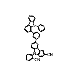 N#Cc1ccc2c(c1)c1cc(-c3cccc(-c4cccc5c6ccccc6n(-c6ccccc6)c45)c3)ccc1n2-c1ccccc1C#N